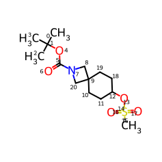 CC(C)(C)OC(=O)N1CC2(CCC(OS(C)(=O)=O)CC2)C1